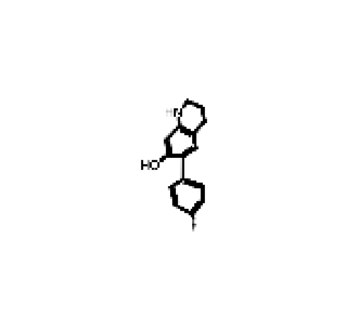 Oc1cc2c(cc1-c1ccc(F)cc1)CCCN2